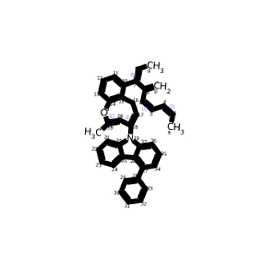 C=C(/C=C\C=C/C)/C(=C\C)c1cccc2c1C/C=C(n1c3ccccc3c3c(-c4ccccc4)cccc31)\C=C(/C)O2